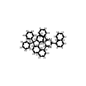 c1ccc(-c2nc(-c3cccc4ccccc34)nc(-c3cccc4ccc5c(c34)-c3ccccc3C5(c3ccccc3)c3ccccc3)n2)cc1